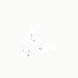 CCc1ccccc1C1CCCN1C1CC2(CCN([C@@]3(C(=O)NS(=O)(=O)c4ccc(NCC5CCOCC5)c([N+](=O)[O-])c4)C=CC=CC3Oc3cnc4[nH]ccc4c3)CC2)C1